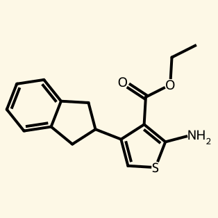 CCOC(=O)c1c(C2Cc3ccccc3C2)csc1N